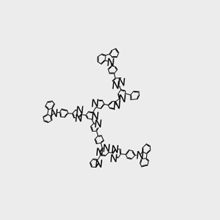 c1ccc(-c2cc(-c3ncc(-c4ccc(-n5c6ccccc6c6ccccc65)cc4)cn3)cc(-c3cc(-c4ccnc(-c5cc(-c6ncc(-c7ccc(-n8c9ccccc9c9ccccc98)cc7)cn6)cc(-c6ccc(-c7ccc(-c8nc(-c9ccccn9)cc(-c9ncc(-c%10ccc(-n%11c%12ccccc%12c%12ccccc%12%11)cc%10)cn9)n8)cc7)cn6)n5)c4)ccn3)n2)cc1